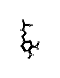 COc1ccc(CCOC(C)=S)cc1OC